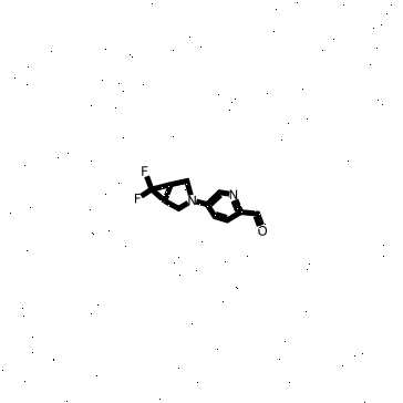 O=Cc1ccc(N2CC3C(C2)C3(F)F)cn1